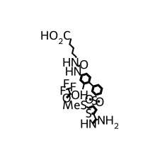 CSc1sc(C(=N)N)cc1S(=O)(=O)c1cccc(-c2ccc(NC(=O)NCCCCCC(=O)O)cc2C)c1.O=C(O)C(F)(F)F